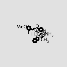 COc1ccc(CCn2cnc3cc(N=C(N)N4CC(C)N(C5Cc6ccccc6C5)C(C)C4)ccc3c2=O)c(F)c1